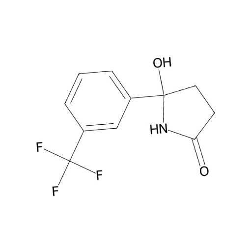 O=C1CCC(O)(c2cccc(C(F)(F)F)c2)N1